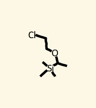 CC(OCCCl)[Si](C)(C)C